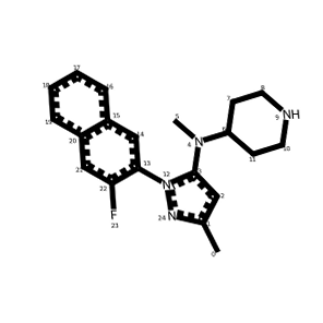 Cc1cc(N(C)C2CCNCC2)n(-c2cc3ccccc3cc2F)n1